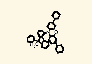 CC1(c2ccccc2)c2ccccc2-c2c(N3c4ccc(-c5ccccc5)cc4Oc4cc(-c5ccccc5)ccc43)cccc21